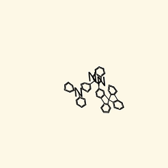 c1ccc(N(c2ccccc2)c2ccc(-c3nc4ccccc4nc3-c3ccc4c(c3)C3(c5ccccc5-c5ccccc53)c3ccccc3-4)cc2)cc1